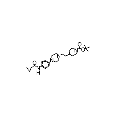 CC(C)(C)OC(=O)N1CCC(CCN2CCN(c3ccc(NC(=O)C4CC4)cc3)CC2)CC1